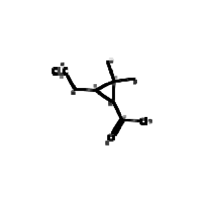 CC1(C)C(CC(Cl)(Cl)Cl)C1C(=O)Cl